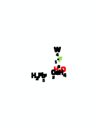 O.[F].[GeH4].[PbH2].[W]